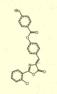 CC(C)(C)c1ccc(C(=O)Oc2ccc(/C=C3\N=C(c4ccccc4Cl)OC3=O)cc2)cc1